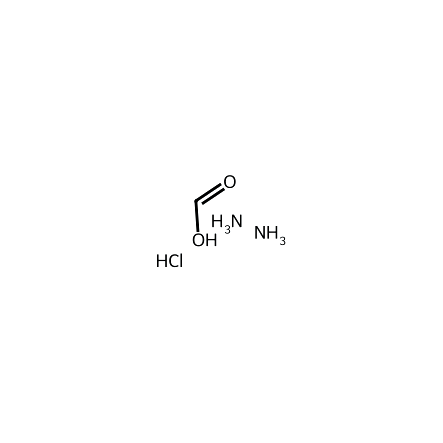 Cl.N.N.O=CO